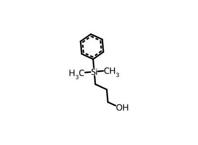 C[Si](C)(CCCO)c1ccccc1